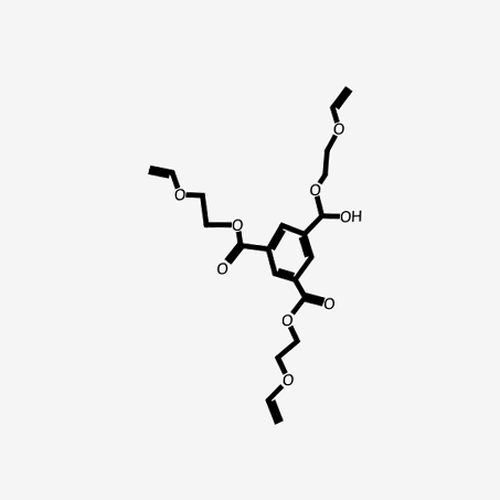 C=COCCOC(=O)c1cc(C(=O)OCCOC=C)cc(C(O)OCCOC=C)c1